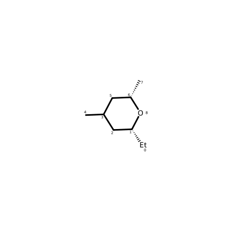 CC[C@@H]1CC(C)C[C@H](C)O1